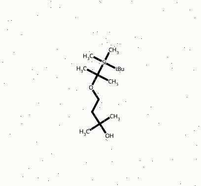 CC(C)(O)CCOC(C)(C)[Si](C)(C)C(C)(C)C